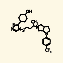 CC(CCSn1cnnc1C1CCC(O)CC1)N1CC2CCN(c3ccc(C(F)(F)F)cc3)C2C1